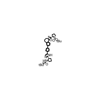 CC(C)(C)OC(=O)N[C@@H]1CCC[C@@H]1c1ncc(-c2ccc(-c3ccc4c(c3)CCCc3nc([C@@H]5CCCN5C(=O)OC(C)(C)C)oc3-4)cc2)[nH]1